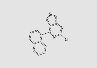 Clc1nc(-c2cccc3ccccc23)c2cscc2n1